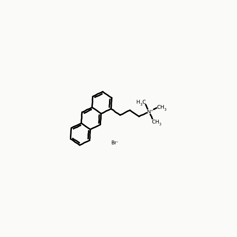 C[N+](C)(C)CCCc1cccc2cc3ccccc3cc12.[Br-]